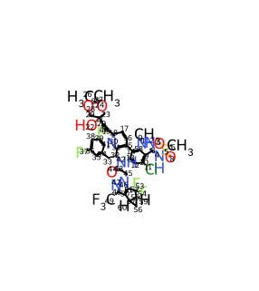 Cn1nc(NS(C)(=O)=O)c2c(Cl)ccc(-c3ccc(C#CC4(O)COC(C)(C)OC4)nc3[C@H](Cc3cc(F)cc(F)c3)NC(=O)Cn3nc(C(F)(F)F)c4c3C(F)(F)[C@@H]3C[C@H]43)c21